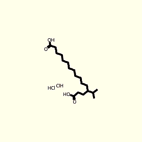 CC(C)C(CCCCCCCCCCCC(=O)O)CCC(=O)O.Cl.Cl